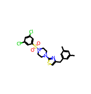 Cc1cc(C)cc(Cc2csc(N3CCN(S(=O)(=O)c4cc(Cl)cc(Cl)c4)CC3)n2)c1